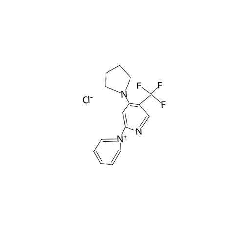 FC(F)(F)c1cnc(-[n+]2ccccc2)cc1N1CCCC1.[Cl-]